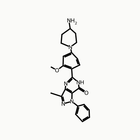 COc1cc(N2CCC(N)CC2)ccc1-c1nc2c(C)nn(-c3ccccc3)c2c(=O)[nH]1